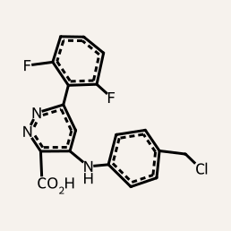 O=C(O)c1nnc(-c2c(F)cccc2F)cc1Nc1ccc(CCl)cc1